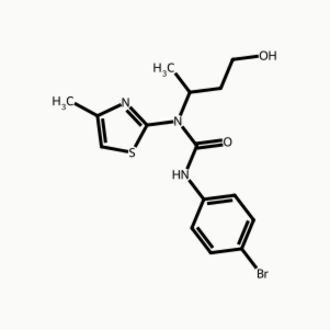 Cc1csc(N(C(=O)Nc2ccc(Br)cc2)C(C)CCO)n1